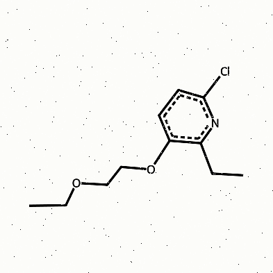 CCOCCOc1ccc(Cl)nc1CC